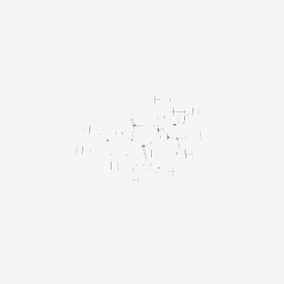 CCC(OC(C)(C)C)(C(=O)O)C(=O)C(OC(C)(C)C)OC(C)(C)C.[AlH3]